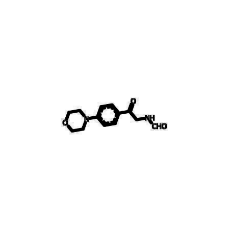 O=CNCC(=O)c1ccc(N2CCOCC2)cc1